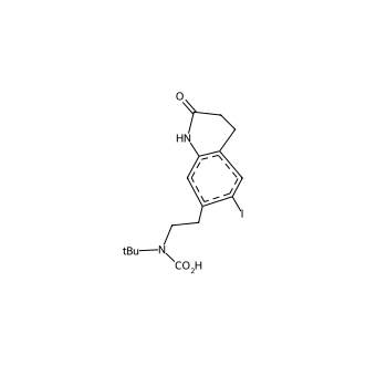 CC(C)(C)N(CCc1cc2c(cc1I)CCC(=O)N2)C(=O)O